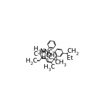 C=CC(=C\C=C(\C)C(C)(C)c1cc(C(=C)CC)ccc1C)/C(C)=N\N(C)c1ccccc1